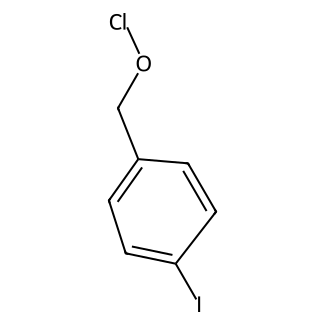 ClOCc1ccc(I)cc1